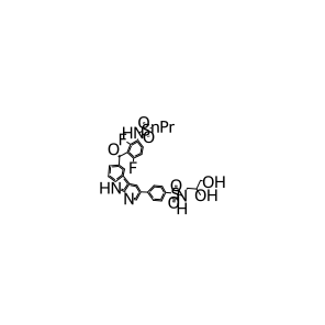 CCCS(=O)(=O)Nc1ccc(F)c(C(=O)c2ccc3[nH]c4ncc(-c5ccc(S(=O)(=O)NCC(O)CO)cc5)cc4c3c2)c1F